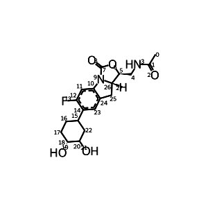 CC(=O)NC[C@@H]1OC(=O)N2c3cc(F)c(C4CC[C@@H](O)C(O)C4)cc3C[C@@H]12